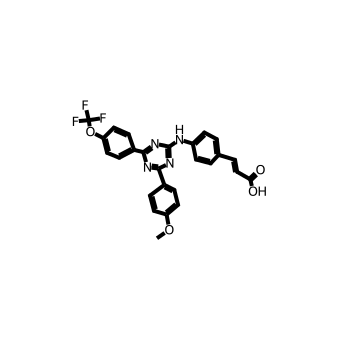 COc1ccc(-c2nc(Nc3ccc(C=CC(=O)O)cc3)nc(-c3ccc(OC(F)(F)F)cc3)n2)cc1